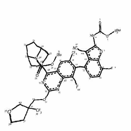 CC(C)(C)OC(=O)Nc1sc2c(F)ccc(-c3c(C(F)(F)F)cc4c(N5CC6CCC(C5)N6C(=O)OC(C)(C)C)nc(OCC5(C(F)(F)F)CCOC5)nc4c3F)c2c1C#N